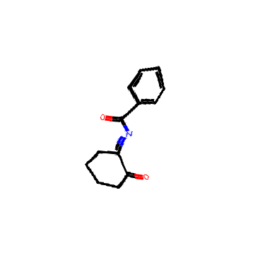 O=C1CCCC/C1=N\C(=O)c1ccccc1